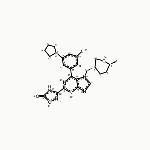 C[C@H]1CC[C@H](Cn2cnc3nc(-c4noc(=O)[nH]4)nc(-c4cc(Cl)cc(N5CCCC5)c4)c32)CC1